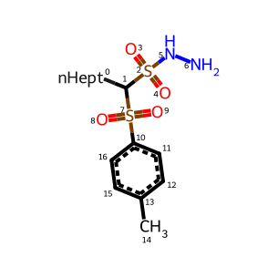 CCCCCCCC(S(=O)(=O)NN)S(=O)(=O)c1ccc(C)cc1